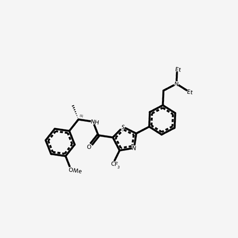 CCN(CC)Cc1cccc(-c2nc(C(F)(F)F)c(C(=O)N[C@@H](C)c3cccc(OC)c3)s2)c1